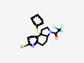 O=C(N1CCC2(Sc3ccccc3)c3ccc(Br)nc3CCC12)C(F)(F)F